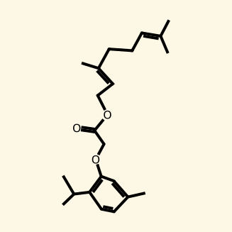 CC(C)=CCC/C(C)=C/COC(=O)COc1cc(C)ccc1C(C)C